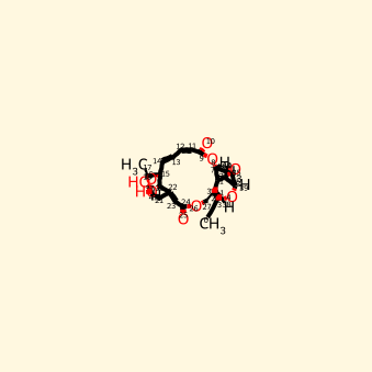 CC1=C[C@H]2O[C@@H]3C[C@H]4OC(=O)/C=C\C=C\[C@]5([C@H](C)O)OCC/C(=C\C(=O)OC[C@@]2(CC1)[C@]4(C)[C@@]31CO1)[C@H]5O